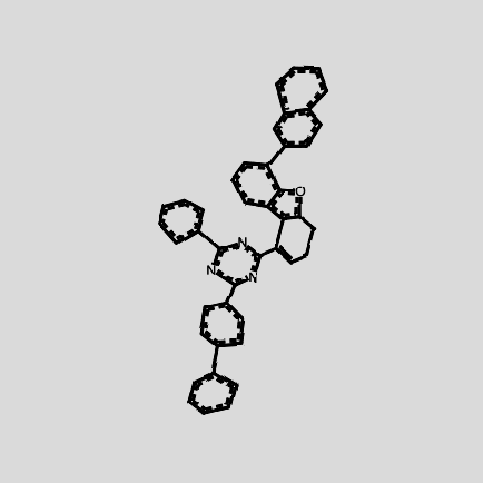 C1=C(c2nc(-c3ccccc3)nc(-c3ccc(-c4ccccc4)cc3)n2)c2c(oc3c(-c4ccc5ccccc5c4)cccc23)CC1